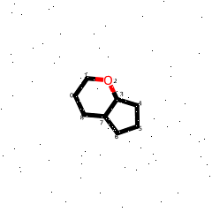 C1CO[C]2CCCC2C1